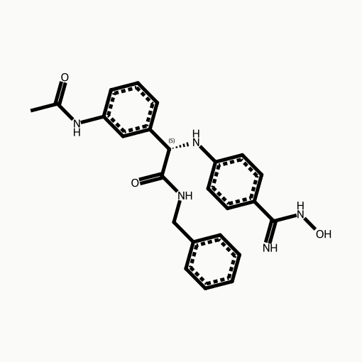 CC(=O)Nc1cccc([C@H](Nc2ccc(C(=N)NO)cc2)C(=O)NCc2ccccc2)c1